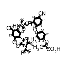 C[C@@H](Oc1ccc(Oc2ccc(C#N)cc2F)cc1)C(=O)O.Cc1nn(-c2cc(NS(C)(=O)=O)c(Cl)cc2Cl)c(=O)n1C(F)F